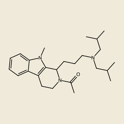 CC(=O)N1CCc2c(n(C)c3ccccc23)C1CCCN(CC(C)C)CC(C)C